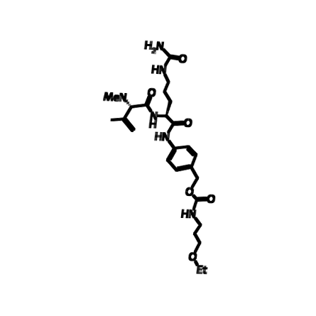 C=C(C)[C@H](NC)C(=O)N[C@@H](CCCNC(N)=O)C(=O)Nc1ccc(COC(=O)NCCCOCC)cc1